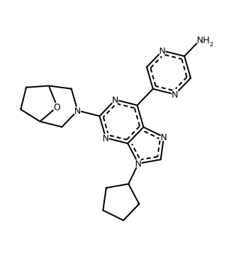 Nc1cnc(-c2nc(N3CC4CCC(C3)O4)nc3c2ncn3C2CCCC2)cn1